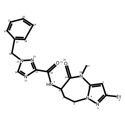 CCc1cc2n(n1)CCC(NC(=O)c1ncn(Cc3ccccc3)n1)C(=O)N2C